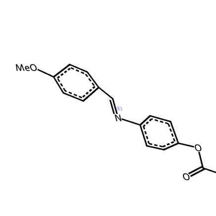 COc1ccc(/C=N/c2ccc(OC(=O)C(C)(C)C)cc2)cc1